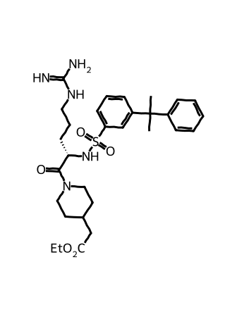 CCOC(=O)CC1CCN(C(=O)[C@H](CCCNC(=N)N)NS(=O)(=O)c2cccc(C(C)(C)c3ccccc3)c2)CC1